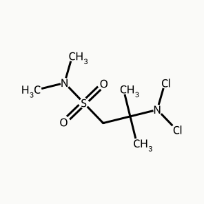 CN(C)S(=O)(=O)CC(C)(C)N(Cl)Cl